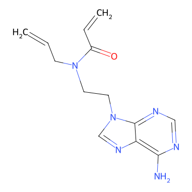 C=CCN(CCn1cnc2c(N)ncnc21)C(=O)C=C